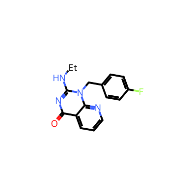 CCNc1nc(=O)c2cccnc2n1Cc1ccc(F)cc1